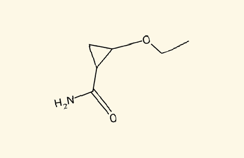 CCOC1CC1C(N)=O